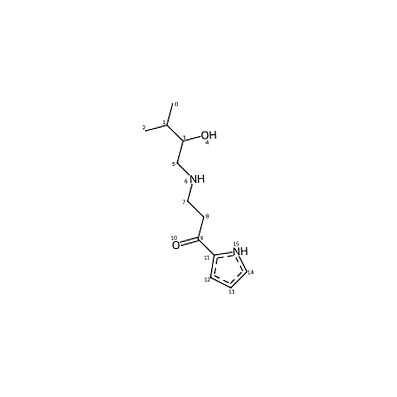 CC(C)C(O)CNCCC(=O)c1ccc[nH]1